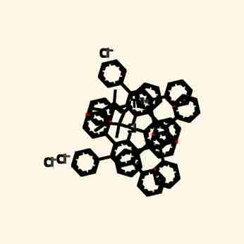 CC1=C(C)C(C)([Si](c2c(-c3ccccc3)c(-c3ccccc3)cc(-c3ccccc3)c2-c2ccccc2)(c2c(-c3ccccc3)c(-c3ccccc3)cc(-c3ccccc3)c2-c2ccccc2)c2c(-c3ccccc3)c(-c3ccccc3)cc(-c3ccccc3)c2-c2ccccc2)[C]([Ti+3])=C1C.[Cl-].[Cl-].[Cl-]